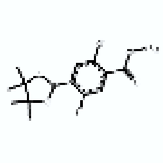 CC(C)(C)OC(=O)c1cc(F)c(B2OC(C)(C)C(C)(C)O2)cc1Cl